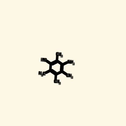 Cc1c(C)c(O)c(C)c([SiH3])c1C